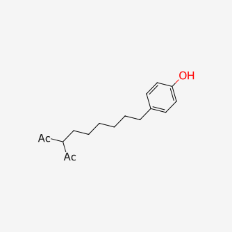 CC(=O)C(CCCCCCc1ccc(O)cc1)C(C)=O